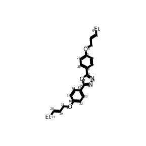 CCC=CCOc1ccc(-c2nnc(-c3ccc(OCC=CCC)cc3)o2)cc1